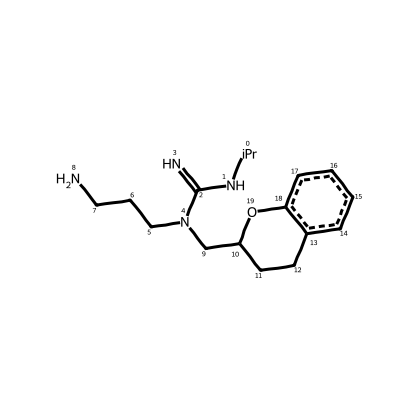 CC(C)NC(=N)N(CCCN)CC1CCc2ccccc2O1